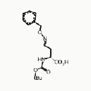 CC(C)(C)OC(=O)N[C@H](CC=NOCc1ccccc1)C(=O)O